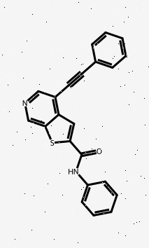 O=C(Nc1ccccc1)c1cc2c(C#Cc3ccccc3)cncc2s1